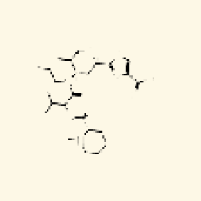 CCCN(C(=O)[C@@H](NC(=O)[C@H]1CCCCN1C)C(C)C)[C@H](C[C@@H](O)c1nc(C(=O)O)cs1)C(C)C